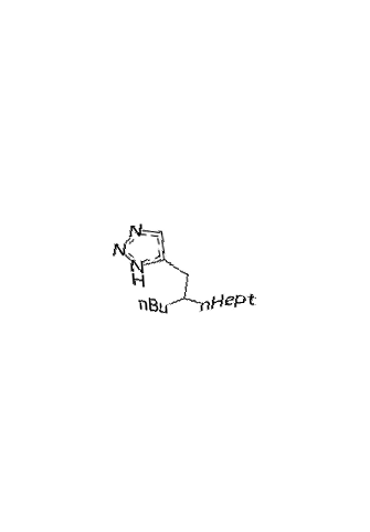 CCCCCCCC(CCCC)Cc1cnn[nH]1